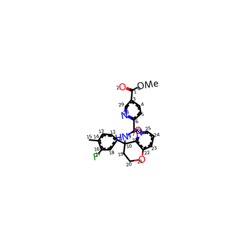 COC(=O)c1ccc(C(=O)NC2(c3ccc(C)c(F)c3)CCOc3cccnc32)nc1